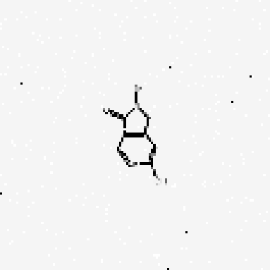 O=C1c2ccc(O)cc2CN1Br